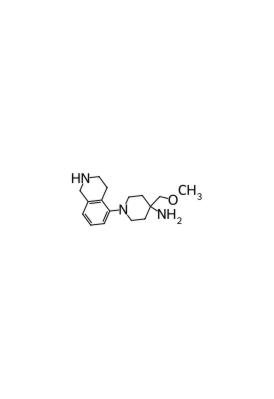 COCC1(N)CCN(c2cccc3c2CCNC3)CC1